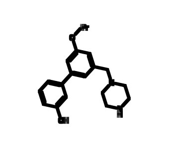 CC(C)Oc1cc(CN2CCNCC2)cc(-c2cccc(O)c2)c1